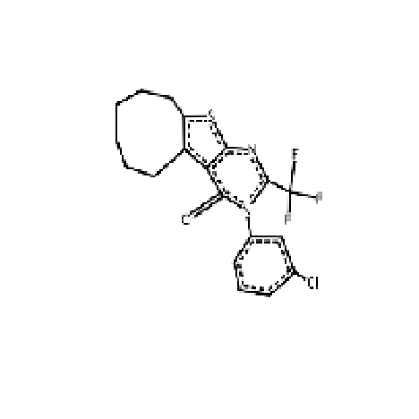 O=c1c2c3c(sc2nc(C(F)(F)F)n1-c1cccc(Cl)c1)CCCCCC3